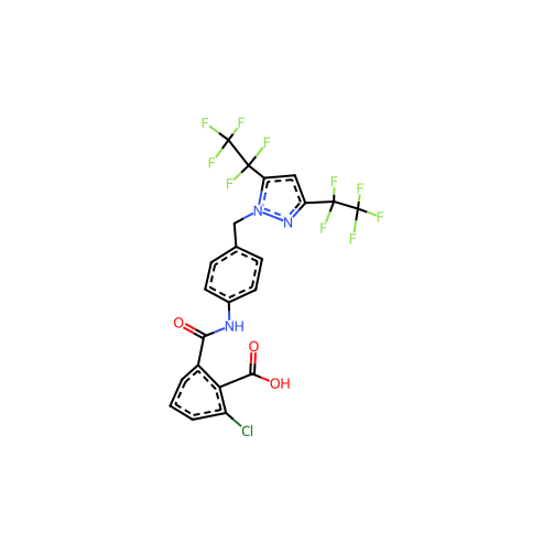 O=C(Nc1ccc(Cn2nc(C(F)(F)C(F)(F)F)cc2C(F)(F)C(F)(F)F)cc1)c1cccc(Cl)c1C(=O)O